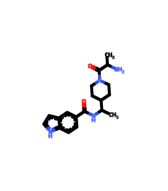 CC(N)C(=O)N1CCC(C(C)NC(=O)c2ccc3[nH]ccc3c2)CC1